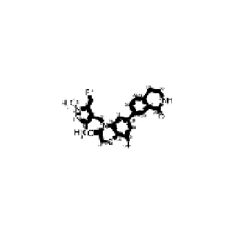 Cc1nn(C)c(CF)c1CN1C(=O)COc2c(F)cc(-c3ccc4c(c3)C(=O)NCC4)cc21